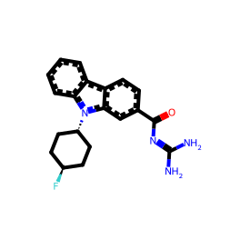 NC(N)=NC(=O)c1ccc2c3ccccc3n([C@H]3CC[C@H](F)CC3)c2c1